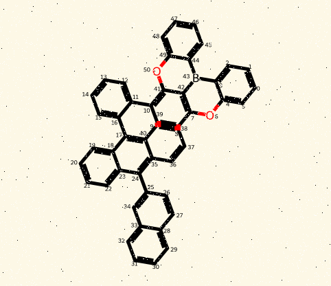 c1ccc2c(c1)Oc1ccc(-c3ccccc3-c3c4ccccc4c(-c4ccc5ccccc5c4)c4ccccc34)c3c1B2c1ccccc1O3